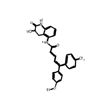 CCOc1ccc(C(=CC=CC(=O)Nc2cccc3c2CC(O)C(=O)N3)c2ccc(C(F)(F)F)cc2)cc1